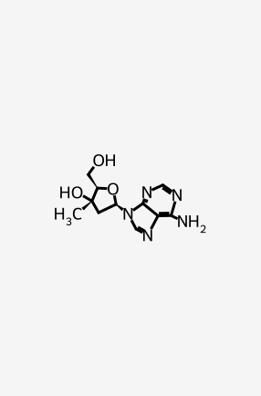 C[C@]1(O)C[C@H](n2cnc3c(N)ncnc32)O[C@@H]1CO